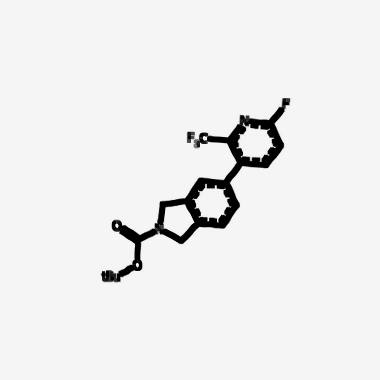 CC(C)(C)OC(=O)N1Cc2ccc(-c3ccc(F)nc3C(F)(F)F)cc2C1